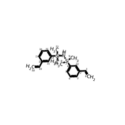 C=Cc1cccc([Si](C)(C)N[Si](C)(C)c2cccc(C=C)c2)c1